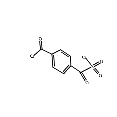 O=C(Cl)c1ccc(C(=O)S(=O)(=O)Cl)cc1